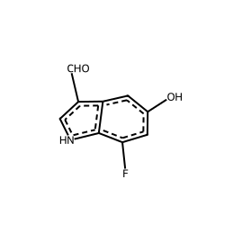 O=Cc1c[nH]c2c(F)cc(O)cc12